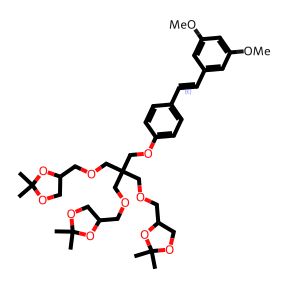 COc1cc(/C=C/c2ccc(OCC(COCC3COC(C)(C)O3)(COCC3COC(C)(C)O3)COCC3COC(C)(C)O3)cc2)cc(OC)c1